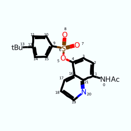 CC(=O)Nc1ccc(OS(=O)(=O)c2ccc(C(C)(C)C)cc2)c2cccnc12